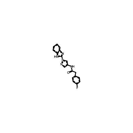 O=C(Cc1ccc(F)cc1)Nc1cnn(-c2nc3ccccc3[nH]2)c1